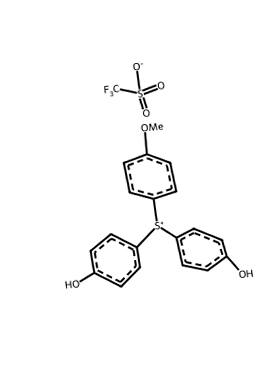 COc1ccc([S+](c2ccc(O)cc2)c2ccc(O)cc2)cc1.O=S(=O)([O-])C(F)(F)F